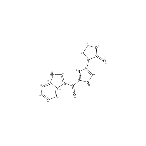 O=C(c1nc(C2CCOC2=O)cs1)c1c[nH]c2ccccc12